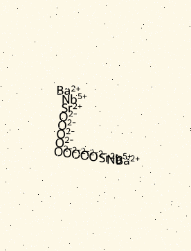 [Ba+2].[Ba+2].[Nb+5].[Nb+5].[O-2].[O-2].[O-2].[O-2].[O-2].[O-2].[O-2].[O-2].[O-2].[Sr+2].[Sr+2]